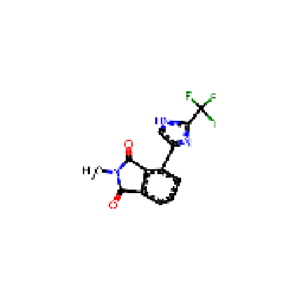 CN1C(=O)c2cccc(-c3c[nH]c(C(F)(F)F)n3)c2C1=O